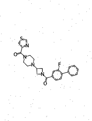 O=C(c1ccc(-c2ccccc2)c(F)c1)N1CC(N2CCN(C(=O)c3cscn3)CC2)C1